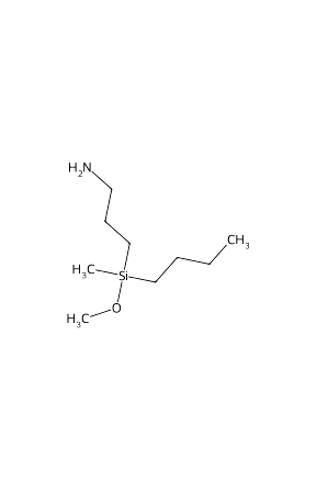 CCCC[Si](C)(CCCN)OC